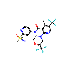 Cc1c(C(F)(F)F)cnc(N2CCO[C@H](C(F)(F)F)C2)c1C(=O)Nc1ccnc([S@](C)(=N)=O)c1